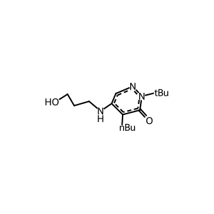 CCCCc1c(NCCCO)cnn(C(C)(C)C)c1=O